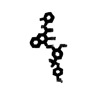 COc1ccc(S(=O)(=O)Oc2ccc([N+](=O)[O-])cc2)cc1N=Nc1c(O)c(C(=O)Nc2ccccc2C)cc2ccccc12